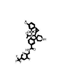 COc1cccc(S(=O)(=O)[N+]2(C(C)=O)c3ccc(C(=O)NCc4ncc(C(F)(F)F)cc4F)cc3C3(CCNCC3)C2C2CC2)c1